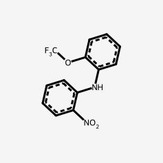 O=[N+]([O-])c1ccccc1Nc1ccccc1OC(F)(F)F